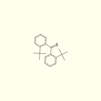 CC(C)(C)c1ccccc1C(=S)c1ccccc1C(C)(C)C